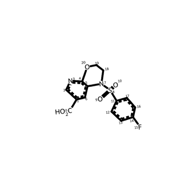 O=C(O)c1cnc2c(c1)N(S(=O)(=O)c1ccc(F)cc1)CCO2